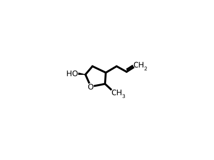 C=CCC1C[C@H](O)OC1C